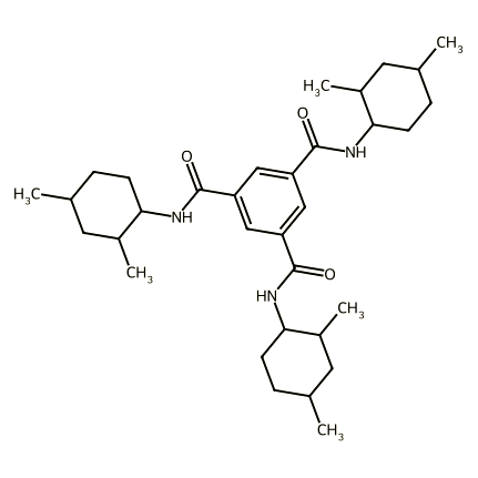 CC1CCC(NC(=O)c2cc(C(=O)NC3CCC(C)CC3C)cc(C(=O)NC3CCC(C)CC3C)c2)C(C)C1